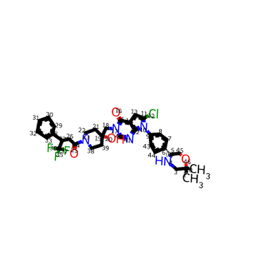 CC1(C)CN[C@H](c2ccc(-n3c(Cl)cc4c(=O)n(CC5(O)CCN(C(=O)CC(c6ccccc6)C(F)(F)F)CC5)cnc43)cc2)CO1